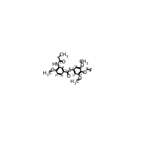 CCC(=O)Nc1cc(C(=O)Sc2cc(OC)c(OCF)c(OC)c2)ccc1OC